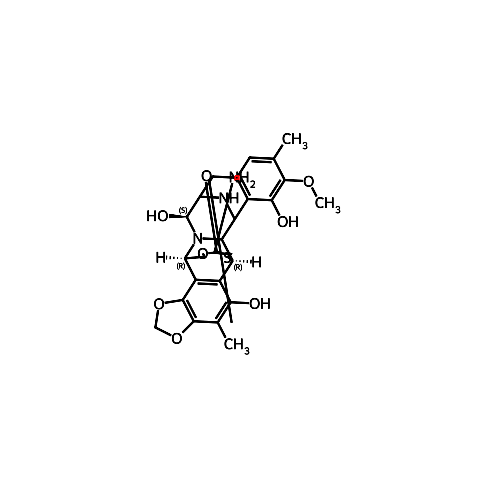 COc1c(C)cc2c(c1O)C1NC(C2)[C@H](O)N2C1[C@@H]1SCC(N)C(=O)OC[C@H]2c2c3c(c(C)c(O)c21)OCO3